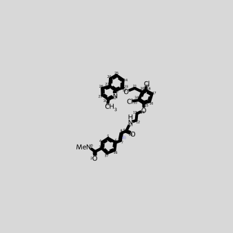 CNC(=O)c1ccc(/C=C/C(=O)NCCOc2ccc(Cl)c(COc3cccc4ccc(C)nc34)c2Cl)cc1